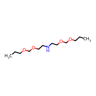 CCCOCOCCNCCOCOCCC